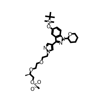 C[C@H](COS(C)(=O)=O)OCCOCCn1cc(-c2nn(C3CCCCO3)c3ccc(O[Si](C)(C)C(C)(C)C)cc23)cn1